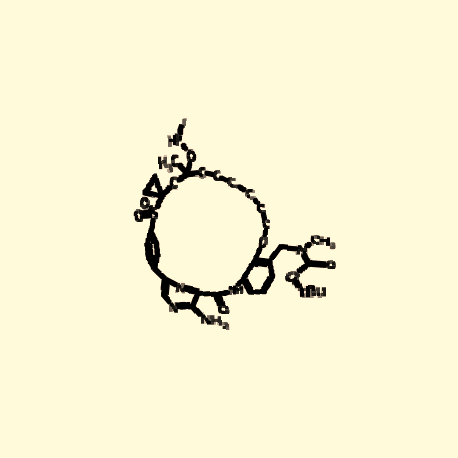 CN(Cc1cccc2c1OCCCCCCC(C)(OPI)CC1(CC1)S(=O)(=O)c1ccc(cc1)-c1cnc(N)c(n1)C(=O)N2)C(=O)OC(C)(C)C